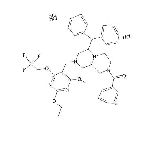 CCOc1nc(OC)c(CN2CC3CN(C(=O)c4cccnc4)CCN3C(C(c3ccccc3)c3ccccc3)C2)c(OCC(F)(F)F)n1.Cl.Cl.Cl